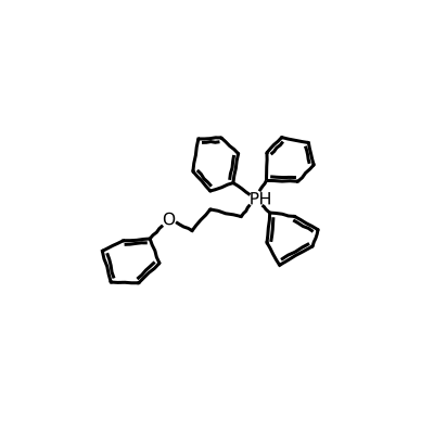 c1ccc(OCCC[PH](c2ccccc2)(c2ccccc2)c2ccccc2)cc1